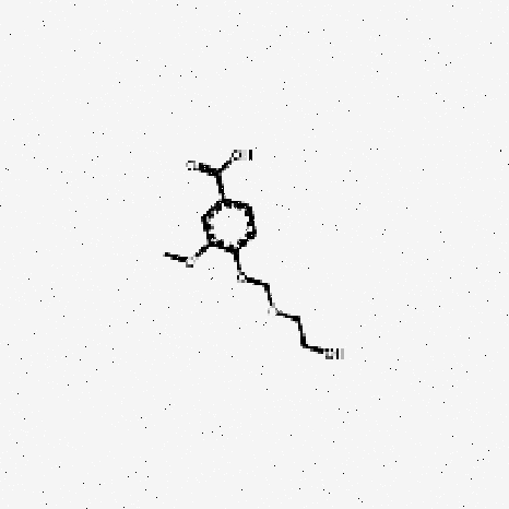 COc1cc(C(=O)O)ccc1OCOCCO